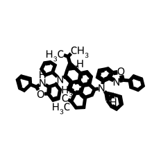 CC(C)C1=C2C(N(C3CC=CCC3)C3CC=CC4=C3NC(C3C=CC=CC3)O4)=c3cc4c5c6c(ccc(c36)[C@@H]21)C(N(C1=C2C=CC=C[C@H]21)c1cccc2oc(C3=CCCC=C3)nc12)CC=5CCC4(C)C